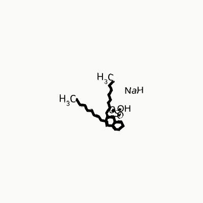 CCCCCCCCCc1cc2ccccc2c(S(=O)(=O)O)c1CCCCCCCCC.[NaH]